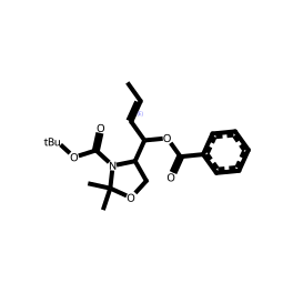 C/C=C/C(OC(=O)c1ccccc1)C1COC(C)(C)N1C(=O)OC(C)(C)C